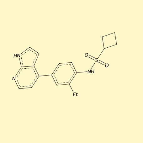 CCc1cc(-c2ccnc3[nH]ccc23)ccc1NS(=O)(=O)C1CCC1